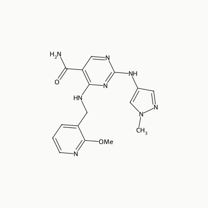 COc1ncccc1CNc1nc(Nc2cnn(C)c2)ncc1C(N)=O